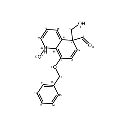 O=CC1(CO)C=CC(OCc2ccccc2)=C2C1=CC=C[NH+]2[O-]